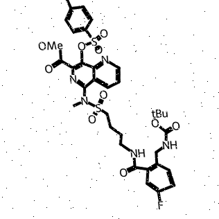 COC(=O)c1nc(N(C)S(=O)(=O)CCCCNC(=O)c2cc(F)ccc2CNC(=O)OC(C)(C)C)c2cccnc2c1OS(=O)(=O)c1ccc(C)cc1